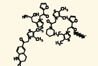 CCCC(O)Cc1csc[n+]1CC(=O)c1ccco1.Cc1sc[n+](CC(=O)N2CCCCC2)c1C.Cc1sc[n+](CC(=O)c2ccc3c(c2)CCC(=O)N3)c1C.Cc1sc[n+](CC(=O)c2ccco2)c1C.[Br-].[Br-].[Br-].[Br-]